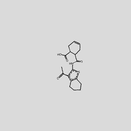 CC(=O)c1c(NC(=O)C2CC=CCC2C(=O)O)sc2c1CCCC2